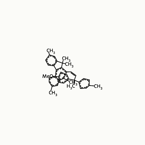 COc1ccc(C(C)(/C=C\c2c3c(c4ccc(C)cc4c2C)-c2ccc(C)cc2C3(C)C)c2ccc(C)cc2)cc1